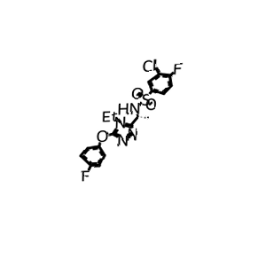 CCn1c(Oc2ccc(F)cc2)nnc1[C@@H](C)NS(=O)(=O)c1ccc(F)c(Cl)c1